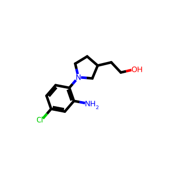 Nc1cc(Cl)ccc1N1CCC(CCO)C1